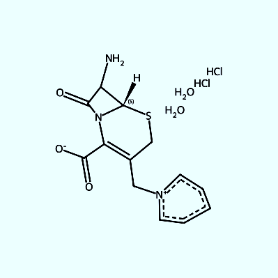 Cl.Cl.NC1C(=O)N2C(C(=O)[O-])=C(C[n+]3ccccc3)CS[C@@H]12.O.O